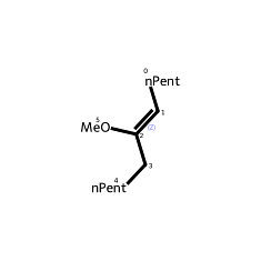 CCCCC/C=C(/CCCCCC)OC